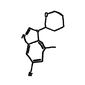 Cc1cc(Br)cc2ncn(C3CCCCO3)c12